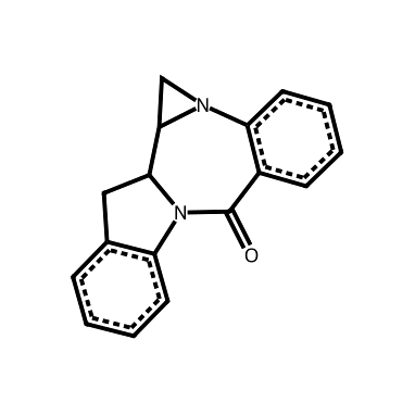 O=C1c2ccccc2N2CC2C2Cc3ccccc3N12